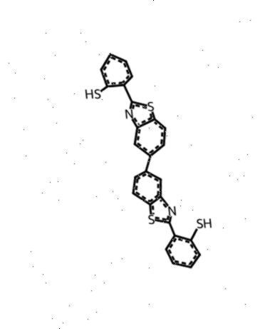 Sc1ccccc1-c1nc2cc(-c3ccc4sc(-c5ccccc5S)nc4c3)ccc2s1